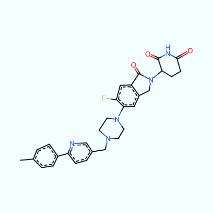 Cc1ccc(-c2ccc(CN3CCN(c4cc5c(cc4F)C(=O)N(C4CCC(=O)NC4=O)C5)CC3)cn2)cc1